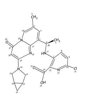 Cc1cc([C@@H](C)Nc2ccc(Cl)nc2C(=O)O)c2nc(N3CC4CC4C3)cc(=O)n2c1